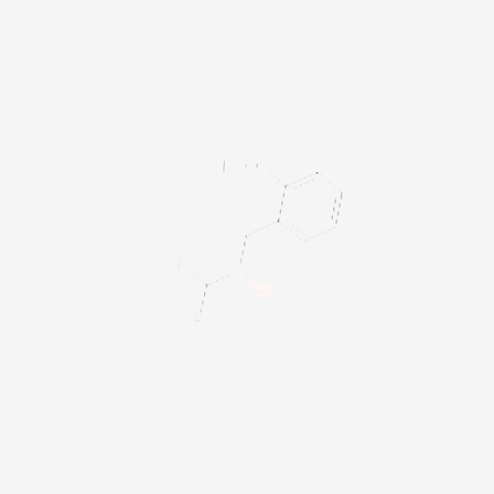 O=C(O)c1ccccc1C[S+]([O-])C(F)F